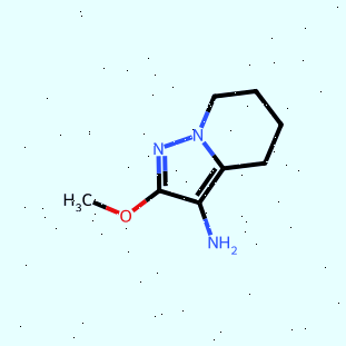 COc1nn2c(c1N)CCCC2